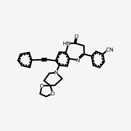 N#Cc1cccc(C2=Nc3cc(N4CCC5(CC4)OCCO5)c(C#Cc4ccccc4)cc3NC(=O)C2)c1